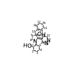 Oc1ccccc1N1CCC(O)(Cc2ccccc2)C1c1ccnnc1